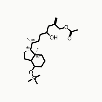 C=C(COC(C)=O)CC(O)CC[C@@H](C)[C@H]1CCC2C(O[Si](C)(C)C)CCC[C@@]21C